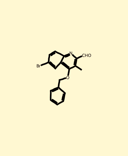 Cc1c(C=O)nc2ccc(Br)cc2c1OCc1ccccc1